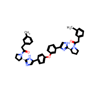 Cc1cccc(CC(=O)N2CCC[C@H]2c2nc(-c3cccc(Oc4ccc(-c5cnc([C@@H]6CCCN6C(=O)Cc6cccc(C)c6)[nH]5)cc4)c3)c[nH]2)c1